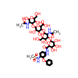 CC(=O)NC1C(O)OC(CO)C(O)C1OC1OC(C(=O)O)C(OC2OC(CO)C(O)C(OC3OC(C(=O)Nc4ccc(NS(C)(=O)=O)c(Oc5ccccc5)c4)C(O)C(O)C3O)C2NC(C)=O)C(O)C1O